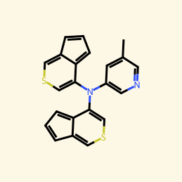 Cc1cncc(N(c2cscc3cccc2-3)c2cscc3cccc2-3)c1